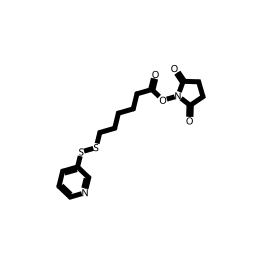 O=C(CCCCCSSc1cccnc1)ON1C(=O)CCC1=O